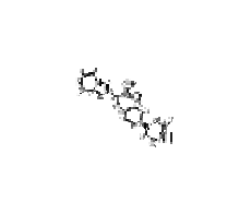 Cc1nccn2cc(-c3cc4ccc(N5CCN[C@H](C)C5)cc4oc3=O)cc12